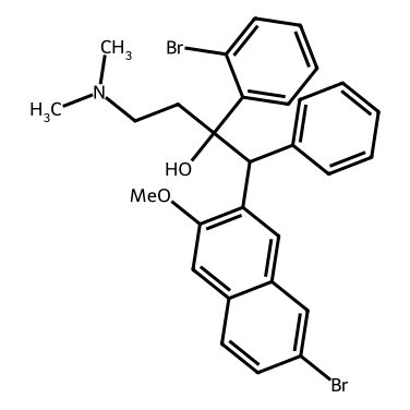 COc1cc2ccc(Br)cc2cc1C(c1ccccc1)C(O)(CCN(C)C)c1ccccc1Br